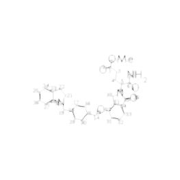 COC(=O)CCC(C(N)=O)N1Cc2c(OCc3ccc(CN4CCc5ccccc54)cc3)cccc2C1=O